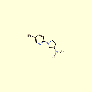 CCN(C(C)=O)C1CCN(c2ccc(C(C)C)cn2)C1